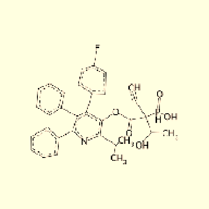 C#CC(C(=O)Oc1c(C(C)C)nc(-c2ccccc2)c(-c2ccccc2)c1-c1ccc(F)cc1)(C(C)O)[PH](=O)O